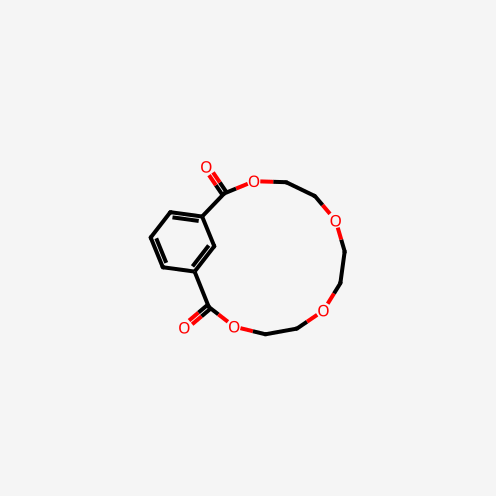 O=C1OCCOCCOCCOC(=O)c2cccc1c2